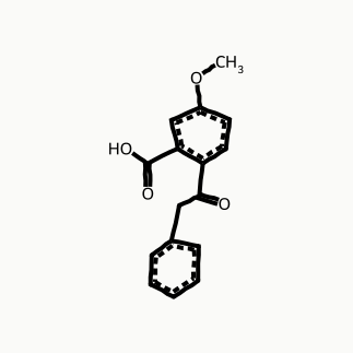 COc1ccc(C(=O)Cc2ccccc2)c(C(=O)O)c1